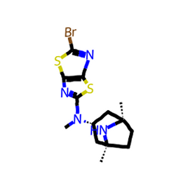 CN(c1nc2sc(Br)nc2s1)[C@H]1C[C@]2(C)CC[C@](C)(C1)N2